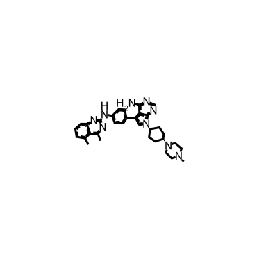 Cc1cccc2nc(Nc3ccc(-c4cn([C@H]5CC[C@@H](N6CCN(C)CC6)CC5)c5ncnc(N)c45)cc3)nc(C)c12